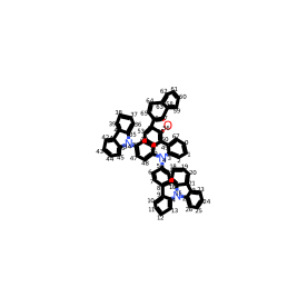 c1ccc(N(c2ccc(-c3ccccc3-n3c4ccccc4c4ccccc43)cc2)c2ccc(-n3c4ccccc4c4ccccc43)cc2)c(-c2cccc3c2oc2c4ccccc4ccc32)c1